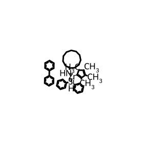 CC1=C(C)C(C)[C]([Zr]([NH]C2CCCCCCCCCC2)[SiH](c2ccccc2)c2ccccc2)=C1C.c1ccc(-c2ccccc2)cc1